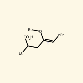 CCC/C=C(/CC(CC)C(=O)O)OCC